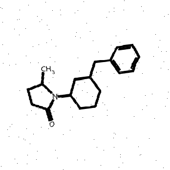 CC1CCC(=O)N1C1CCCC(Cc2ccccc2)C1